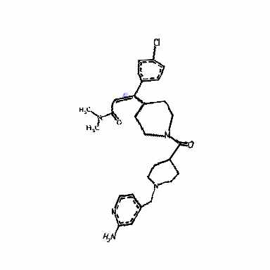 CN(C)C(=O)/C=C(/c1ccc(Cl)cc1)C1CCN(C(=O)C2CCN(Cc3ccnc(N)c3)CC2)CC1